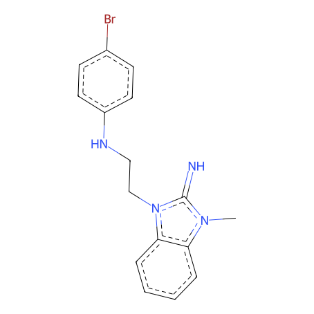 Cn1c(=N)n(CCNc2ccc(Br)cc2)c2ccccc21